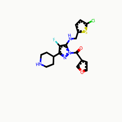 O=C(c1ccoc1)n1nc(C2CCNCC2)c(F)c1NCc1ccc(Cl)s1